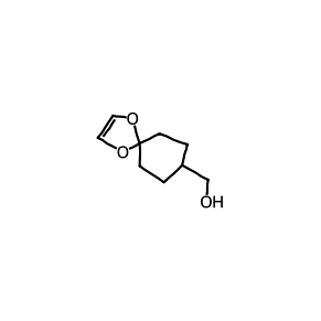 OCC1CCC2(CC1)OC=CO2